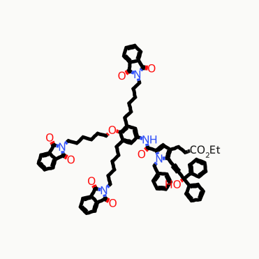 CCOC(=O)CCc1cc(C(=O)Nc2cc(CCCCCCN3C(=O)c4ccccc4C3=O)c(OCCCCCCN3C(=O)c4ccccc4C3=O)c(CCCCCCN3C(=O)c4ccccc4C3=O)c2)n(Cc2ccccc2)c1C#CC(O)(c1ccccc1)c1ccccc1